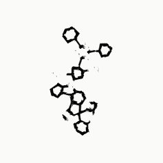 N#Cc1cc(-n2c3ccccc3c3c4c(ccc32)C2(c3ccccc3Sc3ccccc32)c2ccccc2-4)c(C#N)cc1-c1nc(-c2ccccc2)nc(-c2ccccc2)n1